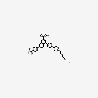 CCCCCCN1CCC(c2ccc(-c3cc(C(=O)O)cc4cc(-c5ccc(C(F)(F)F)cc5)ccc34)cc2)CC1